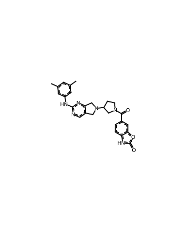 Cc1cc(C)cc(Nc2ncc3c(n2)CN(C2CCN(C(=O)c4ccc5[nH]c(=O)oc5c4)C2)C3)c1